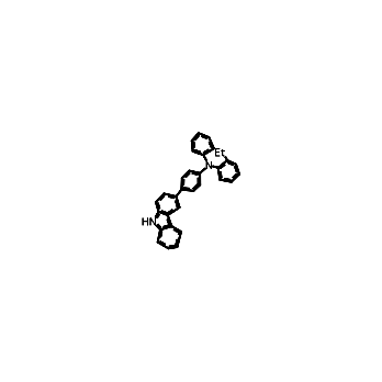 CCc1ccccc1N(c1ccccc1)c1ccc(-c2ccc3[nH]c4ccccc4c3c2)cc1